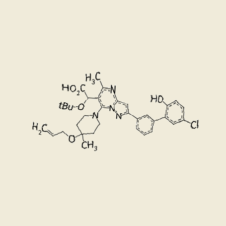 C=CCOC1(C)CCN(c2c(C(OC(C)(C)C)C(=O)O)c(C)nc3cc(-c4cccc(-c5cc(Cl)ccc5O)c4)nn23)CC1